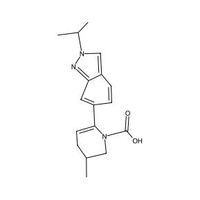 CC1CC=C(c2ccc3cn(C(C)C)nc3c2)N(C(=O)O)C1